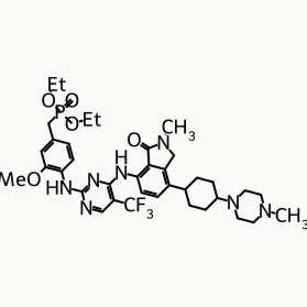 CCOP(=O)(Cc1ccc(Nc2ncc(C(F)(F)F)c(Nc3ccc(C4CCC(N5CCN(C)CC5)CC4)c4c3C(=O)N(C)C4)n2)c(OC)c1)OCC